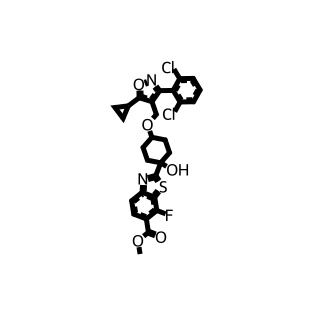 COC(=O)c1ccc2nc(C3(O)CCC(OCc4c(-c5c(Cl)cccc5Cl)noc4C4CC4)CC3)sc2c1F